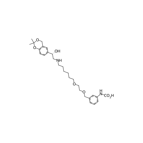 CC1(C)OCc2cc([C@H](O)CNCCCCCCOCCOCc3cccc(NC(=O)O)c3)ccc2O1